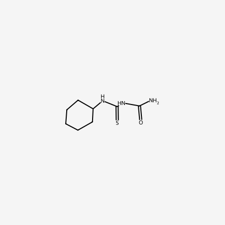 NC(=O)NC(=S)NC1CCCCC1